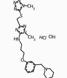 Cl.Cl.Cn1nc(CSc2nnnn2C)nc1NCCCOc1cccc(CN2CCCCC2)c1